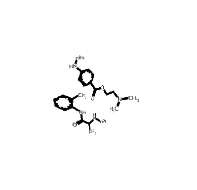 CCCCNc1ccc(C(=O)OCCN(C)C)cc1.CCCNC(C)C(=O)Nc1ccccc1C